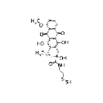 COc1cccc2c1C(=O)c1c(O)c3c(c(O)c1C2=O)C[C@@](O)(C(=O)NCCSS)C[C@@H]3C